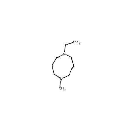 CCN1CCCN(C)CCC1